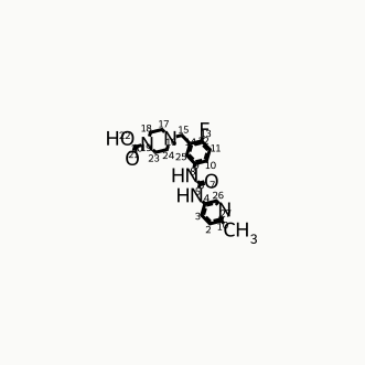 Cc1ccc(NC(=O)Nc2ccc(F)c(CN3CCN(C(=O)O)CC3)c2)cn1